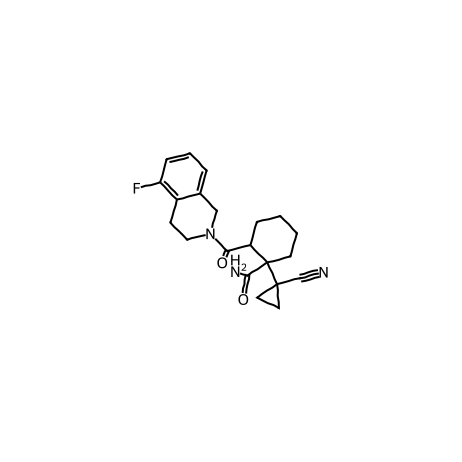 N#CC1(C2(C(N)=O)CCCCC2C(=O)N2CCc3c(F)cccc3C2)CC1